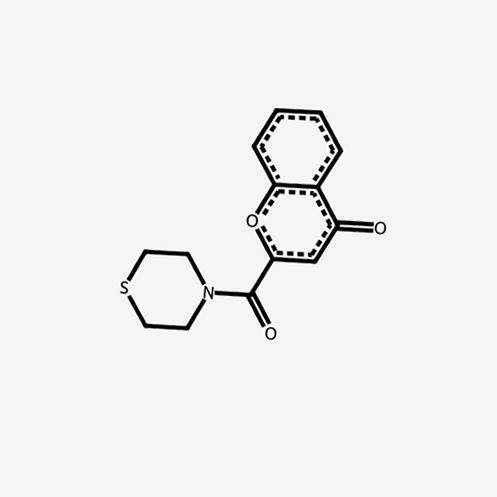 O=C(c1cc(=O)c2ccccc2o1)N1CCSCC1